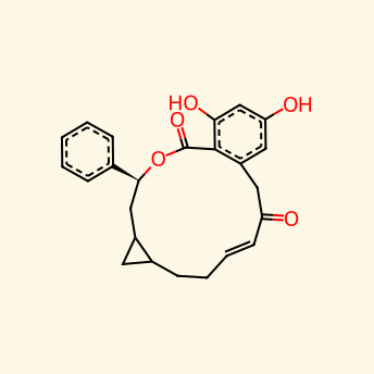 O=C1/C=C/CCC2CC2C[C@@H](c2ccccc2)OC(=O)c2c(O)cc(O)cc2C1